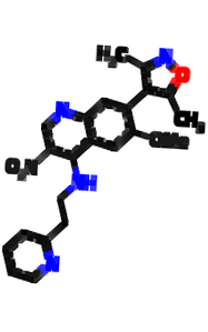 COc1cc2c(NCCc3ccccn3)c([N+](=O)[O-])cnc2cc1-c1c(C)noc1C